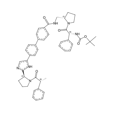 C[C@@H](C(=O)N1CCC[C@H]1c1ncc(-c2ccc(-c3ccc(C(=O)NC[C@@H]4CCCN4C(=O)[C@H](NC(=O)OC(C)(C)C)c4ccccc4)cc3)cc2)[nH]1)c1ccccc1